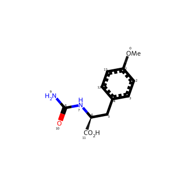 COc1ccc(C[C@H](NC(N)=O)C(=O)O)cc1